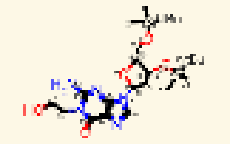 CC(C)(C)[Si](C)(C)OC[C@H]1O[C@@H](n2cnc3c(=O)n(CCO)c(N)nc32)C[C@@H]1O[Si](C)(C)C(C)(C)C